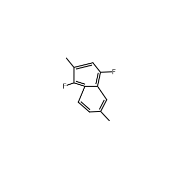 Cc1ccc2c(F)c(C)cc(F)c2c1